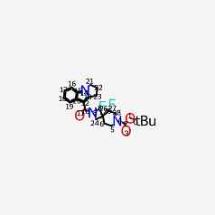 CC(C)(C)OC(=O)N1CCC2(CN(C(=O)c3c4n(c5ccccc35)CCC4)C2)C(F)(F)C1